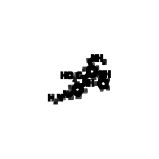 NCc1cc(NC2CCCC2)cc(C(Nc2ccc(C=NN)cc2)C(=O)O)c1